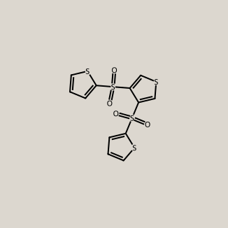 O=S(=O)(c1cccs1)c1cscc1S(=O)(=O)c1cccs1